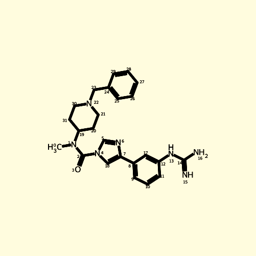 CN(C(=O)n1cnc(-c2cccc(NC(=N)N)c2)c1)C1CCN(Cc2ccccc2)CC1